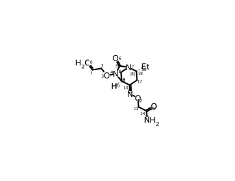 C=CCON1C(=O)N2C[C@H]1C(=NOCC(N)=O)C[C@H]2CC